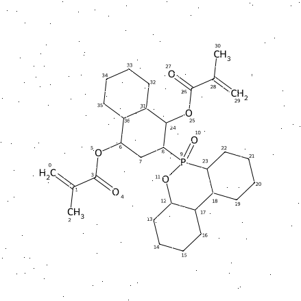 C=C(C)C(=O)OC1CC(P2(=O)OC3CCCCC3C3CCCCC32)C(OC(=O)C(=C)C)C2CCCCC12